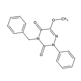 COc1nn(-c2ccccc2)c(=O)n(Cc2ccccc2)c1=O